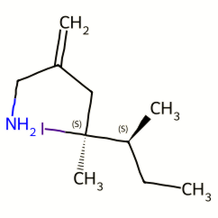 C=C(CN)C[C@](C)(I)[C@@H](C)CC